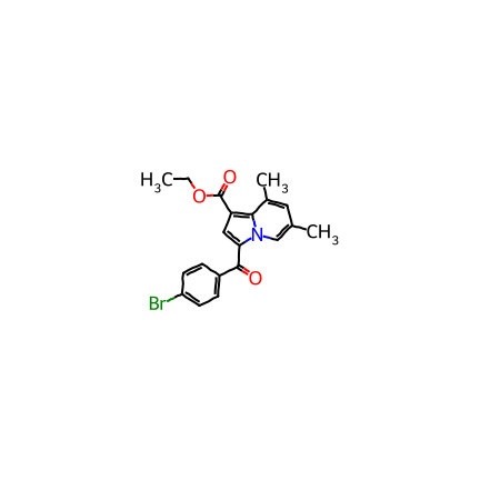 CCOC(=O)c1cc(C(=O)c2ccc(Br)cc2)n2cc(C)cc(C)c12